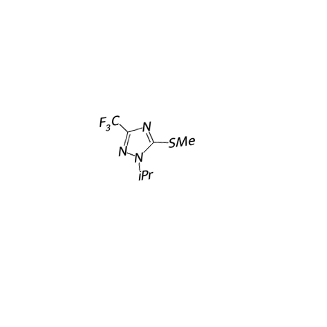 CSc1nc(C(F)(F)F)nn1C(C)C